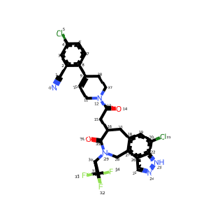 N#Cc1cc(Cl)ccc1C1=CCN(C(=O)CC2Cc3cc(Cl)c4[nH]ncc4c3CN(CC(F)(F)F)C2=O)CC1